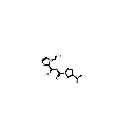 CN(C)[C@@H]1CCN(C(=O)CC(O)c2nccn2CC(F)(F)F)C1